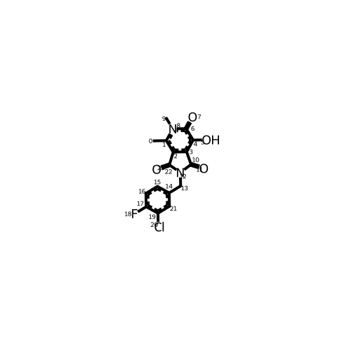 Cc1c2c(c(O)c(=O)n1C)C(=O)N(Cc1ccc(F)c(Cl)c1)C2=O